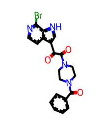 O=C(C(=O)N1CCN(C(=O)c2ccccc2)CC1)c1c[nH]c2c(Br)nccc12